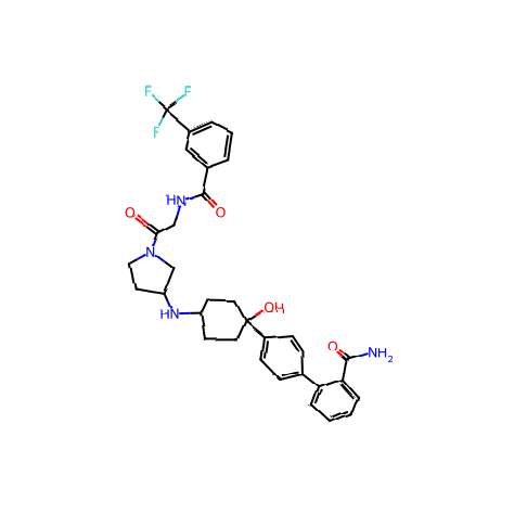 NC(=O)c1ccccc1-c1ccc(C2(O)CCC(NC3CCN(C(=O)CNC(=O)c4cccc(C(F)(F)F)c4)C3)CC2)cc1